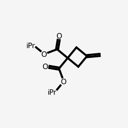 C=C1CC(C(=O)OC(C)C)(C(=O)OC(C)C)C1